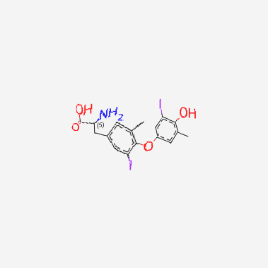 Cc1cc(Oc2c(C)cc(C[C@H](N)C(=O)O)cc2I)cc(I)c1O